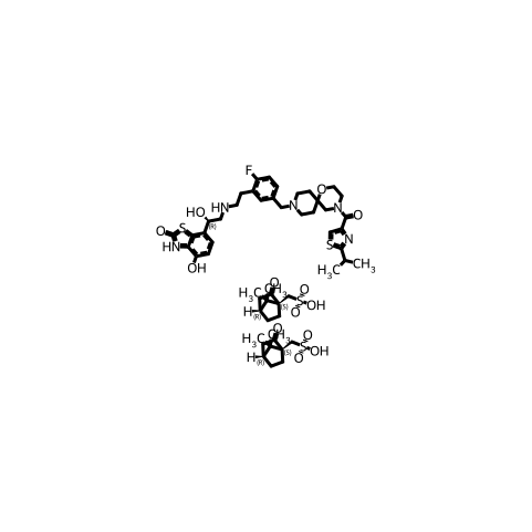 CC(C)c1nc(C(=O)N2CCOC3(CCN(Cc4ccc(F)c(CCNC[C@H](O)c5ccc(O)c6[nH]c(=O)sc56)c4)CC3)C2)cs1.CC1(C)[C@@H]2CC[C@@]1(CS(=O)(=O)O)C(=O)C2.CC1(C)[C@@H]2CC[C@@]1(CS(=O)(=O)O)C(=O)C2